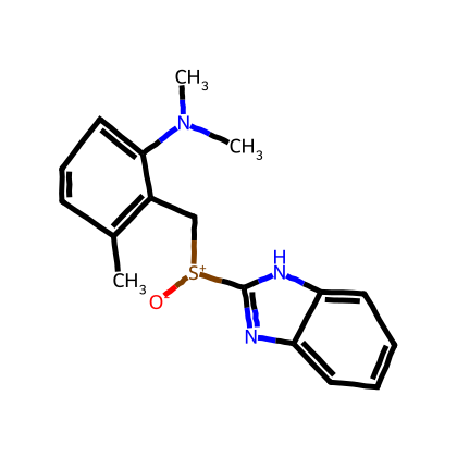 Cc1cccc(N(C)C)c1C[S+]([O-])c1nc2ccccc2[nH]1